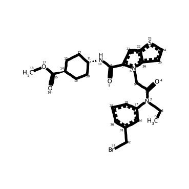 CCN(C(=O)Cn1c(C(=O)N[C@H]2CC[C@H](C(=O)OC)CC2)cc2sccc21)c1cccc(CBr)c1